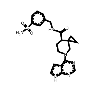 NS(=O)(=O)c1cccc(CNC(=O)C2CCN(c3ncnc4[nH]ccc34)CC23CC3)c1